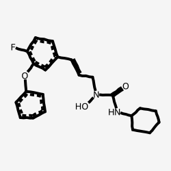 O=C(NC1CCCCC1)N(O)C/C=C/c1ccc(F)c(Oc2ccccc2)c1